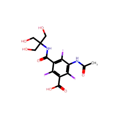 CC(=O)Nc1c(I)c(C(=O)O)c(I)c(C(=O)NC(CO)(CO)CO)c1I